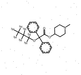 [2H]C([2H])([2H])C([2H])([2H])C([2H])([2H])OC(C(=O)OC1CCN(C)CC1)(c1ccccc1)c1ccccc1